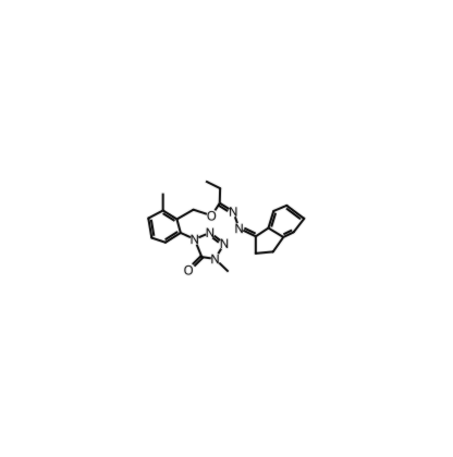 CC/C(=N/N=C1/CCc2ccccc21)OCc1c(C)cccc1-n1nnn(C)c1=O